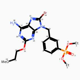 CCOP(=O)(OCC)c1cccc(Cn2c(Br)nc3c(N)nc(OCCOC)nc32)c1